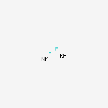 [F-].[F-].[KH].[Ni+2]